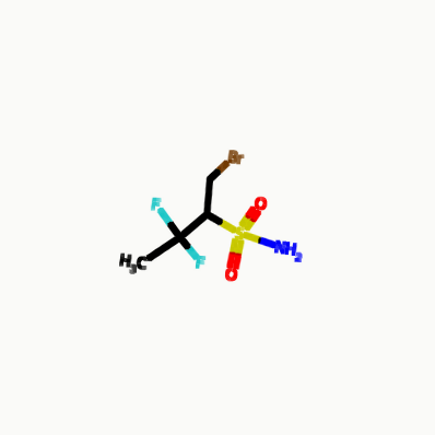 CC(F)(F)C(CBr)S(N)(=O)=O